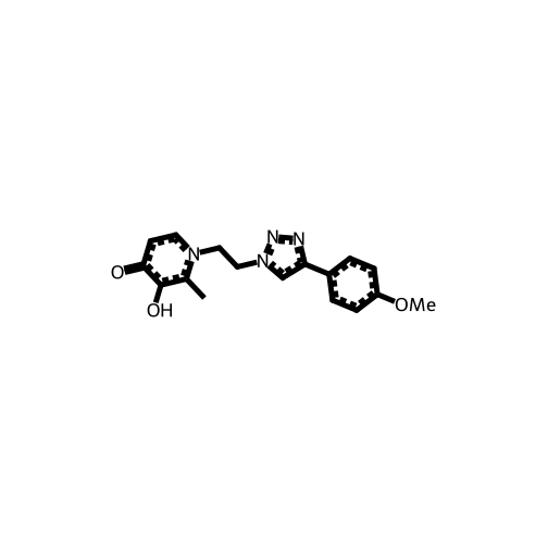 COc1ccc(-c2cn(CCn3ccc(=O)c(O)c3C)nn2)cc1